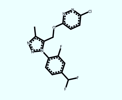 Cc1nnn(-c2ccc(C(F)F)cc2F)c1COc1ccc(Cl)nn1